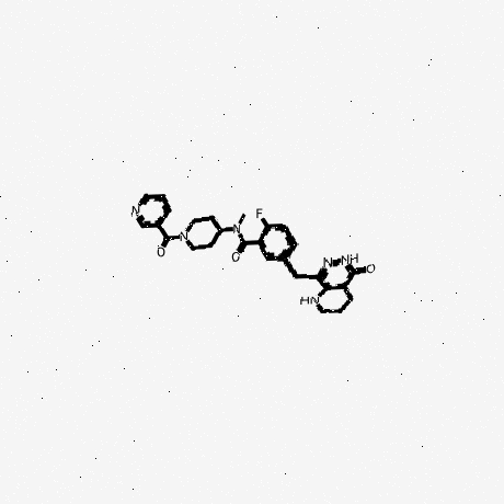 CN(C(=O)c1cc(Cc2n[nH]c(=O)c3c2NCCC3)ccc1F)C1CCN(C(=O)c2cccnc2)CC1